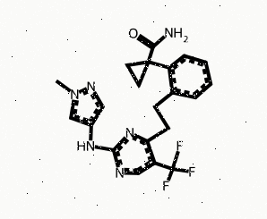 Cn1cc(Nc2ncc(C(F)(F)F)c(CCc3ccccc3C3(C(N)=O)CC3)n2)cn1